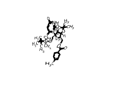 Cc1ccc(C(=O)OC[C@H]2O[C@](CO[Si](C)(C)C(C)(C)C)(n3c(I)cc(=O)[nH]c3=O)[C@@H]3OC(C)(C)O[C@@H]32)cc1